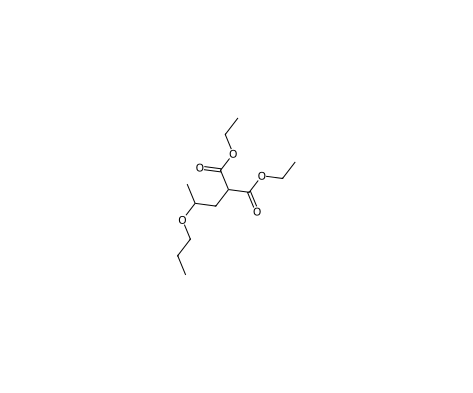 CCCOC(C)CC(C(=O)OCC)C(=O)OCC